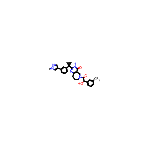 Cn1cc(-c2cccc(C3(c4nc5c(c(=O)[nH]4)CN(C(=O)[C@H](O)c4cccc(C(F)(F)F)c4)CCC5)CC3)c2)cn1